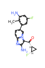 Cc1c(N)cc(F)cc1-c1ccc2nc(N)c(C(=O)[C@@H]3C[C@@H]3F)n2c1